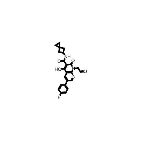 O=CCn1c(=O)c(C(=O)NC2CC3(CC3)C2)c(O)c2cc(-c3ccc(F)cc3)cnc21